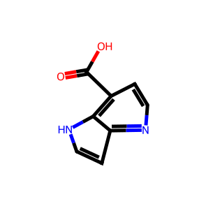 O=C(O)c1ccnc2cc[nH]c12